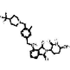 Cc1cc(CNc2cccc3c2C(=O)N(C2CCC(O)NC2=O)C3=O)ccc1CN1CCC(C(F)(F)F)CC1